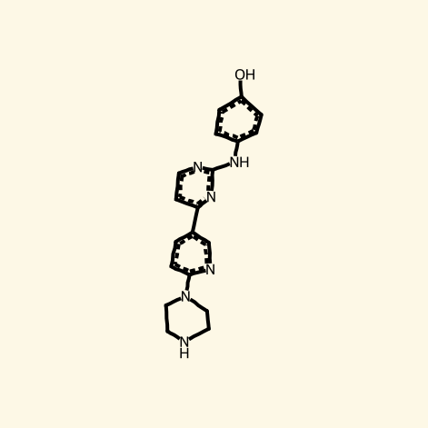 Oc1ccc(Nc2nccc(-c3ccc(N4CCNCC4)nc3)n2)cc1